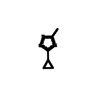 Cc1noc(C2CC2)n1